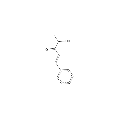 CC(O)C(=O)C=Cc1ccccc1